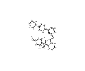 COc1cc(C)c(S(=O)(=O)N2CCCCC2COc2ccnc(N3CCN(c4ccncc4)CC3)n2)c(C)c1